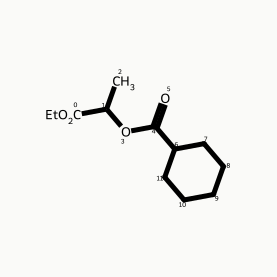 CCOC(=O)C(C)OC(=O)C1CCCCC1